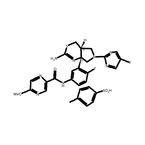 COc1cnc(C(=O)Nc2ccc(F)c([C@]34CN(c5ncc(F)cn5)C[C@H]3CSC(N)=N4)c2)cn1.Cc1ccc(S(=O)(=O)O)cc1